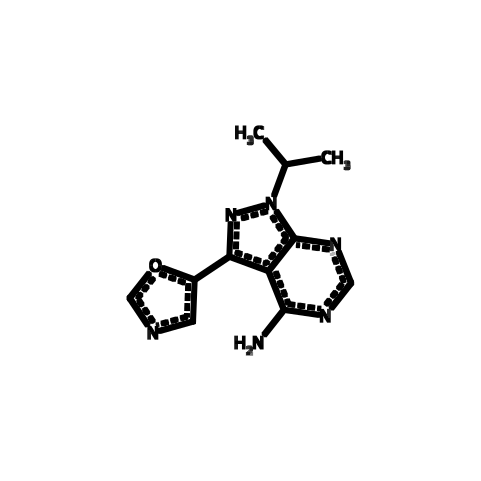 CC(C)n1nc(-c2cnco2)c2c(N)ncnc21